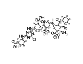 Nc1c(S(=O)(=O)O)cc(Nc2ccc(-c3ccc(Nc4nc(Cl)nc(Nc5cccc(C(=O)O)c5)n4)cc3S(=O)(=O)O)c(S(=O)(=O)O)c2)c2c1C(=O)c1ccccc1C2=O